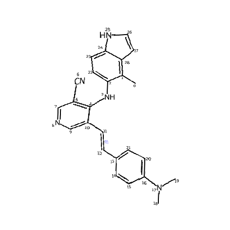 Cc1c(Nc2c(C#N)cncc2/C=C/c2ccc(N(C)C)cc2)ccc2[nH]ccc12